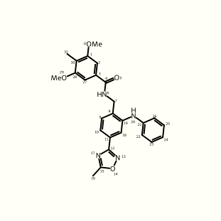 COc1cc(C(=O)NCc2ccc(-c3noc(C)n3)cc2Nc2ccccc2)cc(OC)c1C